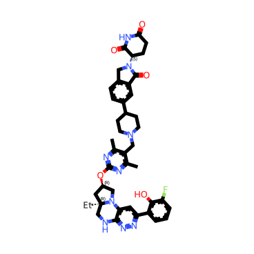 CC[C@@]12CNc3nnc(-c4cccc(F)c4O)cc3N1C[C@H](Oc1nc(C)c(CN3CCC(c4ccc5c(c4)C(=O)N([C@H]4CCC(=O)NC4=O)C5)CC3)c(C)n1)C2